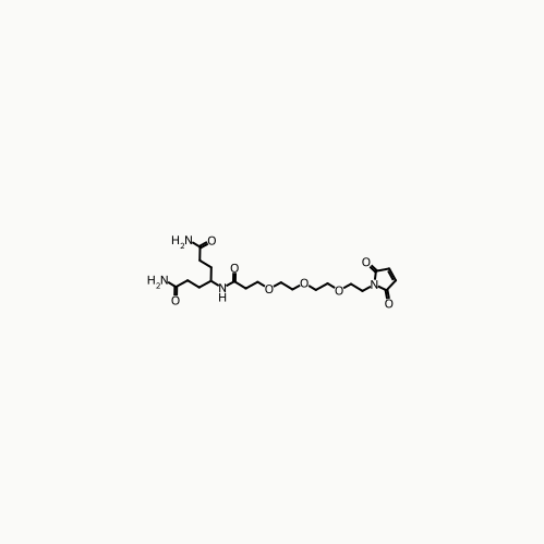 NC(=O)CCC(CCC(N)=O)NC(=O)CCOCCOCCOCCN1C(=O)C=CC1=O